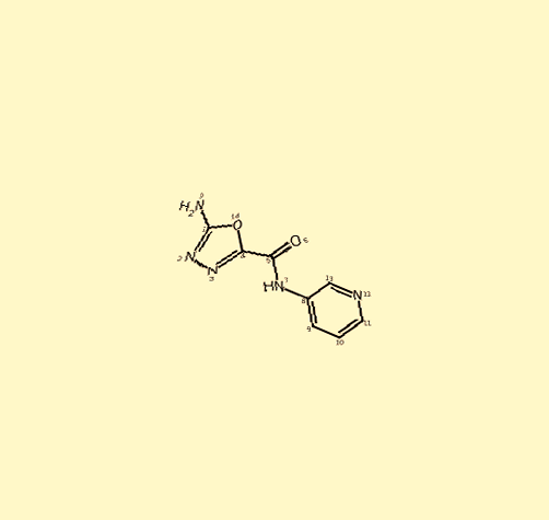 Nc1nnc(C(=O)Nc2cccnc2)o1